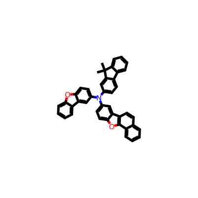 CC1(C)c2ccccc2-c2ccc(N(c3ccc4oc5ccccc5c4c3)c3ccc4oc5c6ccccc6ccc5c4c3)cc21